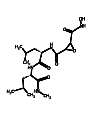 CNC(=O)[C@H](CC(C)C)NC(=O)[C@H](CC(C)C)NC(=O)C1OC1C(=O)NO